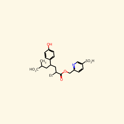 CCC(CC(CC(C)C(=O)O)c1ccc(O)cc1)C(=O)OCc1ccc(S(=O)(=O)O)cn1